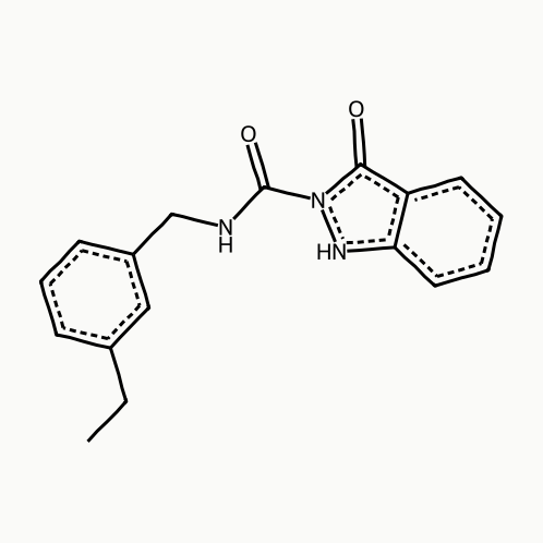 CCc1cccc(CNC(=O)n2[nH]c3ccccc3c2=O)c1